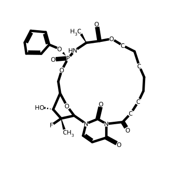 C[C@@H]1N[P@@](=O)(Oc2ccccc2)OCC2OC(n3ccc(=O)n(c3=O)C(=O)CCCCCCCOC1=O)[C@](C)(F)[C@@H]2O